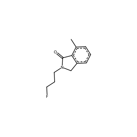 Cc1cccc2c1C(=O)N(CCCF)C2